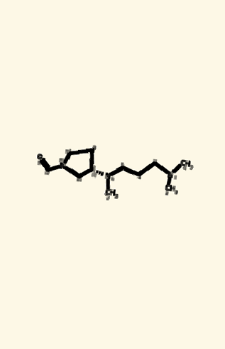 CN(C)CCCN(C)[C@H]1CCN(C=O)C1